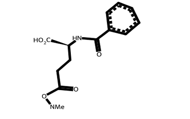 CNOC(=O)CC[C@H](NC(=O)c1ccccc1)C(=O)O